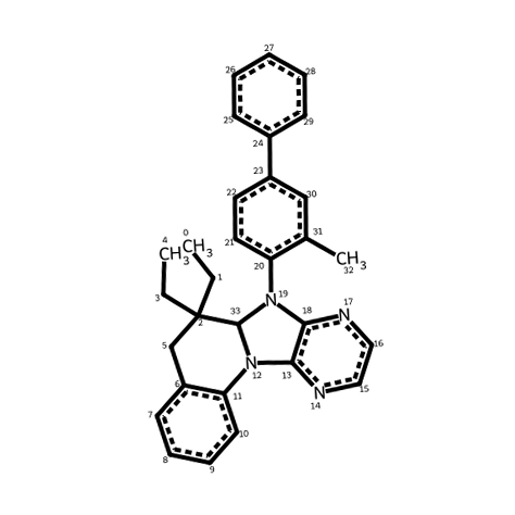 CCC1(CC)Cc2ccccc2N2c3nccnc3N(c3ccc(-c4ccccc4)cc3C)C21